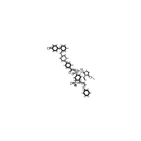 CC1CCC(C)N1CC[C@H](CSc1ccccc1)Nc1ccc(S(=O)(=O)NC(=O)c2ccc(N3CCN(Cc4ccccc4-c4ccc(Cl)cc4)CC3)cc2)cc1[N+](=O)[O-]